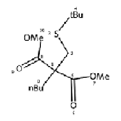 CCCCC(CSC(C)(C)C)(C(=O)OC)C(=O)OC